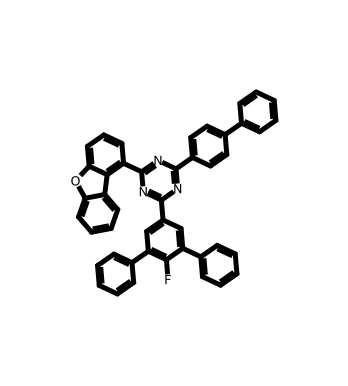 Fc1c(-c2ccccc2)cc(-c2nc(-c3ccc(-c4ccccc4)cc3)nc(-c3cccc4oc5ccccc5c34)n2)cc1-c1ccccc1